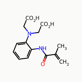 C=C(C)C(=O)Nc1ccccc1N(CC(=O)O)CC(=O)O